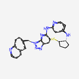 S[C@@H]1CCC[C@H]1Nc1ccnc(Nc2ccc3nnn(Cc4ccc5ncccc5c4)c3n2)c1